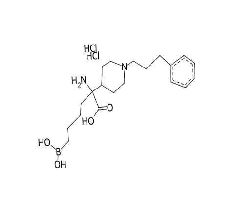 Cl.Cl.NC(CCCCB(O)O)(C(=O)O)C1CCN(CCCc2ccccc2)CC1